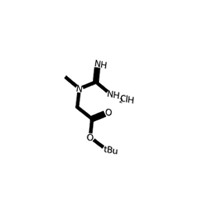 CN(CC(=O)OC(C)(C)C)C(=N)N.Cl